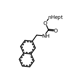 CCCCCCCOC(=O)NCc1ccc2ccccc2c1